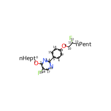 CCCCCCCOc1nc(-c2ccc(OCC(F)CCCCC)cc2)ncc1F